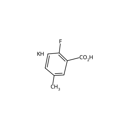 Cc1ccc(F)c(C(=O)O)c1.[KH]